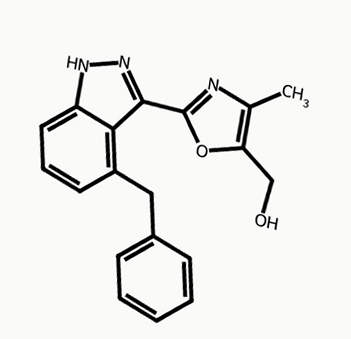 Cc1nc(-c2n[nH]c3cccc(Cc4ccccc4)c23)oc1CO